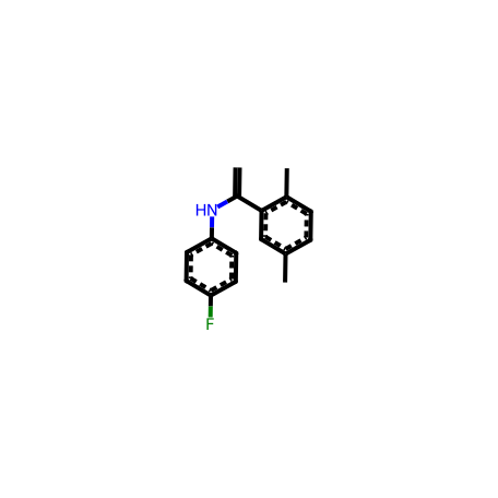 C=C(Nc1ccc(F)cc1)c1cc(C)ccc1C